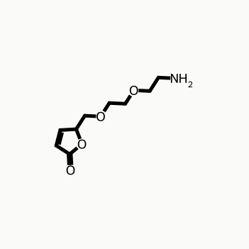 NCCOCCOCC1C=CC(=O)O1